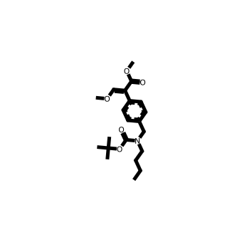 CCCCN(Cc1ccc(/C(=C\OC)C(=O)OC)cc1)C(=O)OC(C)(C)C